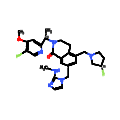 CNc1nccn1Cc1cc(CN2CC[C@H](F)C2)c2c(c1)C(=O)N([C@@H](C)c1cc(OC)c(F)cn1)CC2